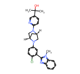 Cn1c(-c2cc(N3C[C@@H]4C[C@H]3CN4c3ccc(C(C)(C)O)cn3)ccc2Cl)nc2ccccc21